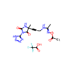 CCC(=O)ON=C(C)NCC#CC1(C)NC(=O)N(c2nnn[nH]2)C1=O.O=C(O)C(F)(F)F